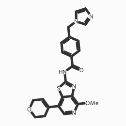 COc1ncc(C2=CCOCC2)c2sc(NC(=O)c3ccc(Cn4ccnc4)cc3)nc12